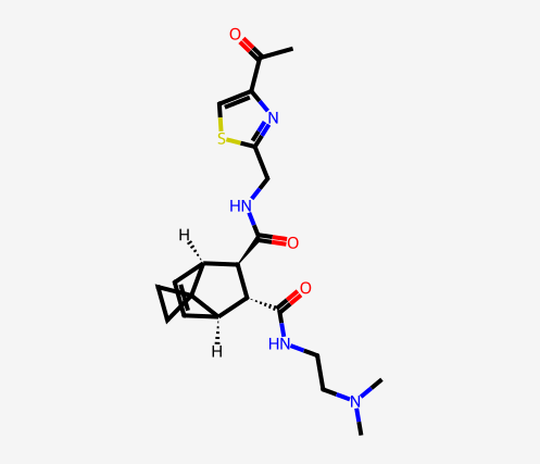 CC(=O)c1csc(CNC(=O)[C@H]2[C@H](C(=O)NCCN(C)C)[C@H]3C=C[C@@H]2C32CC2)n1